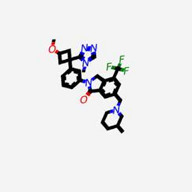 COC1CC(c2cccc(N3Cc4c(cc(CN5CCCC(C)C5)cc4C(F)(F)F)C3=O)c2)(c2nncn2C)C1